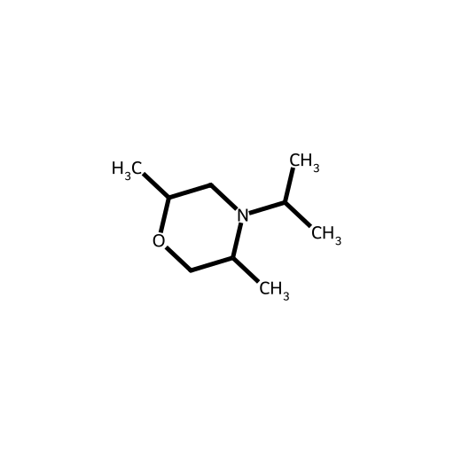 CC1CN(C(C)C)C(C)CO1